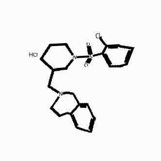 Cl.O=S(=O)(c1ccccc1Cl)N1CCCC(CN2CCc3ccccc3C2)C1